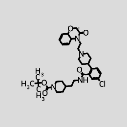 CC(C)(C)OC(=O)N1CCC(CCNC(=O)c2cc(Cl)ccc2C2CCN(CCN3C(=O)[C]OC4C=CC=CC43)CC2)CC1